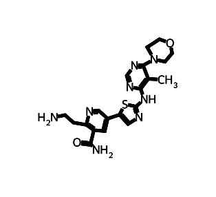 Cc1c(Nc2ncc(-c3cnc(CCN)c(C(N)=O)c3)s2)ncnc1N1CCOCC1